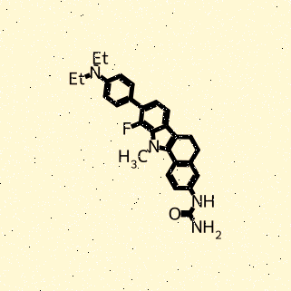 CCN(CC)c1ccc(-c2ccc3c4c(n(C)c3c2F)-c2ccc(NC(N)=O)cc2CC4)cc1